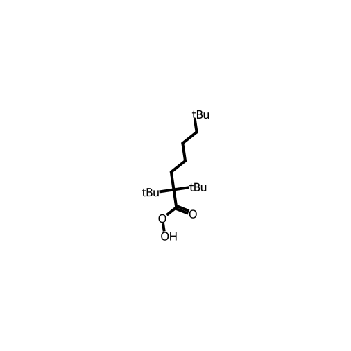 CC(C)(C)CCCCC(C(=O)OO)(C(C)(C)C)C(C)(C)C